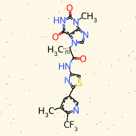 Cc1cc(-c2nc(NC(=O)[C@H](C)n3cnc4c3c(=O)[nH]c(=O)n4C)cs2)cnc1C(F)(F)F